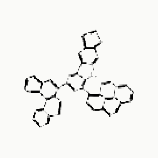 c1ccc2cc3c(cc2c1)oc1c(-c2ccc4ccc5cccc6ccc2c4c56)cc(-c2cc4ccccc4c4c2ccc2ccccc24)cc13